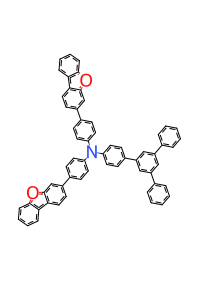 c1ccc(-c2cc(-c3ccccc3)cc(-c3ccc(N(c4ccc(-c5ccc6c(c5)oc5ccccc56)cc4)c4ccc(-c5ccc6c(c5)oc5ccccc56)cc4)cc3)c2)cc1